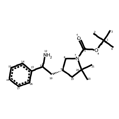 CC(C)(C)OC(=O)N1C[C@@H](CC(N)c2ccccc2)CC1(C)C